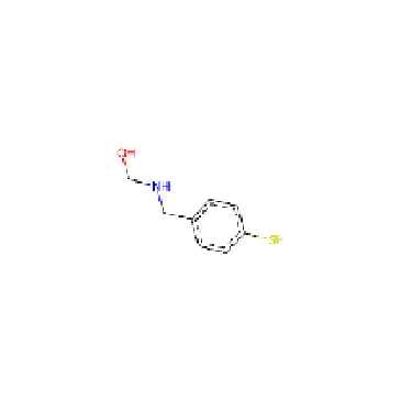 OCNCc1ccc(S)cc1